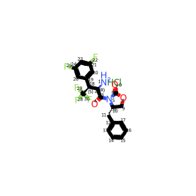 Cl.N[C@@H](C(=O)N1C(=O)OC[C@@H]1Cc1ccccc1)[C@H](c1cc(F)cc(F)c1)C(F)(F)F